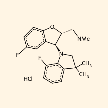 CNC[C@H]1Oc2ccc(F)cc2[C@@H]1N1CC(C)(C)c2cccc(F)c21.Cl